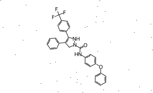 O=C(Nc1ccc(Oc2ccccc2)cc1)N1CC(c2ccccc2)=C(c2ccc(C(F)(F)F)cc2)N1